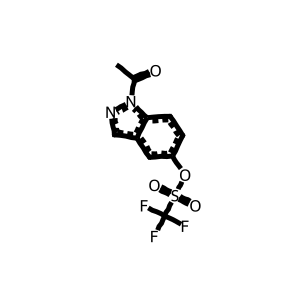 CC(=O)n1ncc2cc(OS(=O)(=O)C(F)(F)F)ccc21